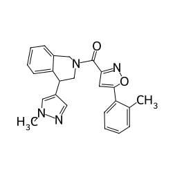 Cc1ccccc1-c1cc(C(=O)N2Cc3ccccc3C(c3cnn(C)c3)C2)no1